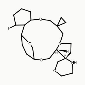 FC1CCCC2OCC3(CC3)CN3CC[C@@]4(COCCN4)[C@@H]3COC3CCC(CC3)C12